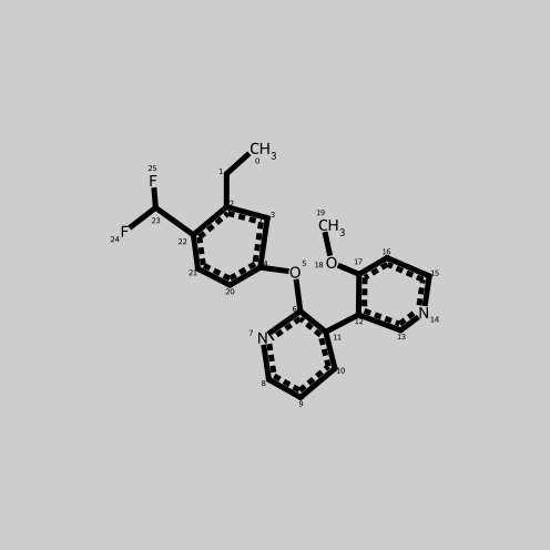 CCc1cc(Oc2ncccc2-c2cnccc2OC)ccc1C(F)F